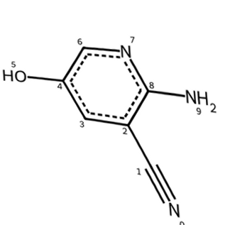 N#Cc1cc(O)cnc1N